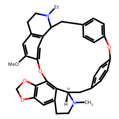 CCN1CCc2cc(OC)c3cc2C1Cc1ccc(cc1)Oc1ccc(cc1)C[C@H]1c2c(cc4c(c2O3)OCO4)CCN1C